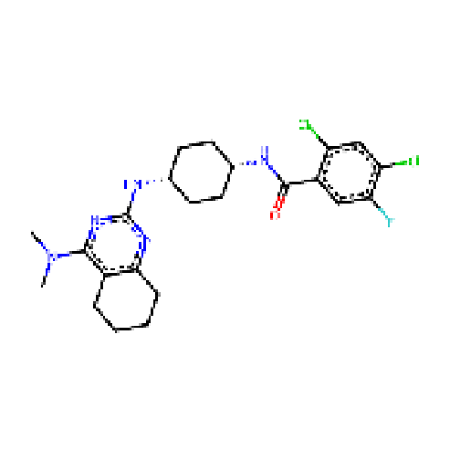 CN(C)c1nc(N[C@H]2CC[C@@H](NC(=O)c3cc(F)c(Cl)cc3Cl)CC2)nc2c1CCCC2